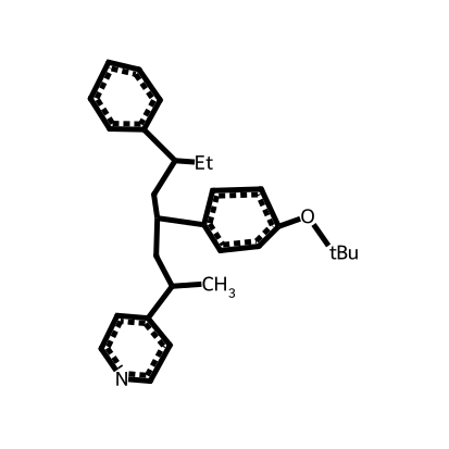 CCC(CC(CC(C)c1ccncc1)c1ccc(OC(C)(C)C)cc1)c1ccccc1